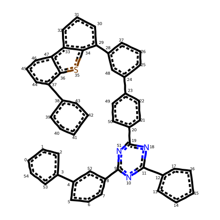 c1ccc(-c2cccc(-c3nc(-c4ccccc4)nc(-c4ccc(-c5cccc(-c6cccc7c6sc6c(-c8ccccc8)cccc67)c5)cc4)n3)c2)cc1